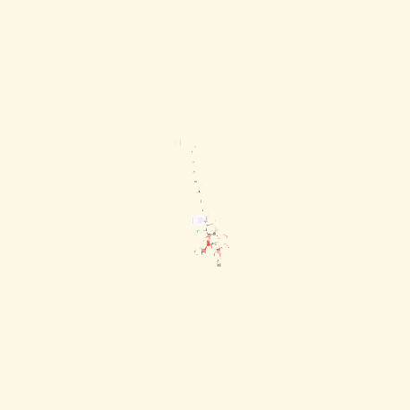 CCCCCCCCCCCCCCCCNc1ccc(C(=O)C(C(=O)OCC)C(=O)OC(C)(C)C)cc1F